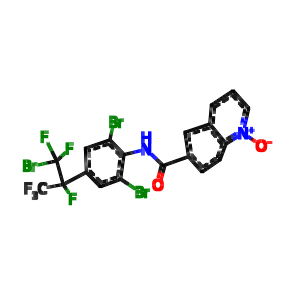 O=C(Nc1c(Br)cc(C(F)(C(F)(F)F)C(F)(F)Br)cc1Br)c1ccc2c(ccc[n+]2[O-])c1